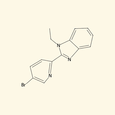 CCn1c(-c2ccc(Br)cn2)nc2ccccc21